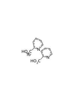 O=C(O)c1ccccn1.O=C(O)c1ccccn1.[Tb]